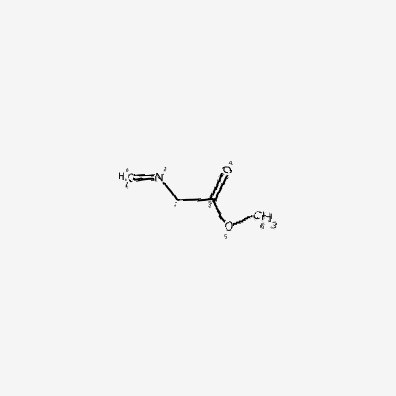 C=NCC(=O)OC